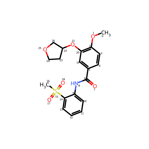 COc1ccc(C(=O)Nc2ccccc2S(C)(=O)=O)cc1OC1CCOC1